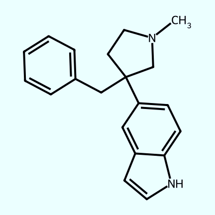 CN1CCC(Cc2ccccc2)(c2ccc3[nH]ccc3c2)C1